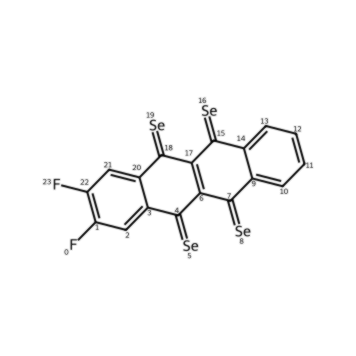 Fc1cc2c(=[Se])c3c(=[Se])c4ccccc4c(=[Se])c=3c(=[Se])c2cc1F